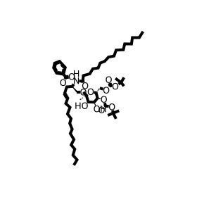 CCCCCCCCCCCCC/C=C/[C@@H](OC(=O)c1ccccc1)[C@H](CO[C@@]1(C)O[C@H](COC(=O)OC(C)(C)C)[C@H](OC(=O)OC(C)(C)C)[C@H](O)[C@H]1O)NC(=O)CCCCCCCCCCCCCCC